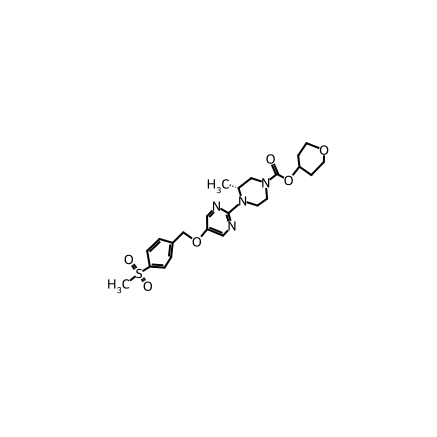 C[C@@H]1CN(C(=O)OC2CCOCC2)CCN1c1ncc(OCc2ccc(S(C)(=O)=O)cc2)cn1